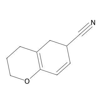 N#CC1C=CC2=C(CCCO2)C1